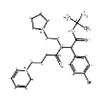 CC(C)(C)NC(=O)C(c1ccc(Br)cc1)N(CCN1CCCC1)C(=O)CCCN1C=CC=CC1